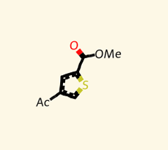 COC(=O)c1cc(C(C)=O)cs1